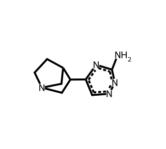 Nc1nncc(C2CN3CCC2C3)n1